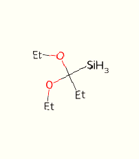 CCOC([SiH3])(CC)OCC